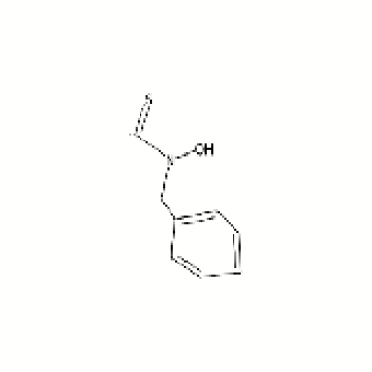 ON([C]=S)Cc1ccccc1